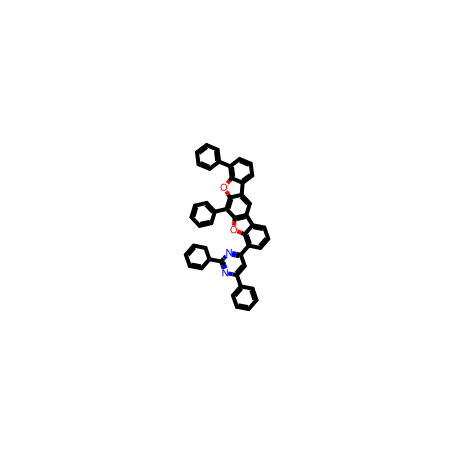 C1=CCC(c2nc(-c3ccccc3)cc(-c3cccc4c3oc3c(-c5ccccc5)c5oc6c(-c7ccccc7)cccc6c5cc34)n2)C=C1